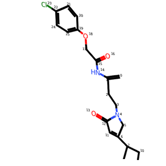 C=C(CCN1CC(C2CCC2)=CC1=O)NC(=O)COc1ccc(Cl)cc1